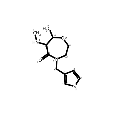 CNC1C(=O)N(Cc2ccsc2)CCOC1C